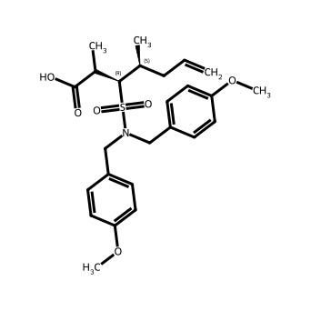 C=CC[C@H](C)[C@H](C(C)C(=O)O)S(=O)(=O)N(Cc1ccc(OC)cc1)Cc1ccc(OC)cc1